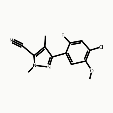 COc1cc(-c2nn(C)c(C#N)c2C)c(F)cc1Cl